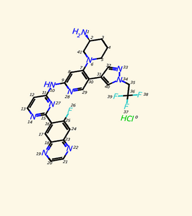 Cl.N[C@H]1CCCN(c2cc(Nc3ccnc(-c4cc5nccnc5cc4F)n3)ncc2-c2cnn(CC(F)(F)F)c2)C1